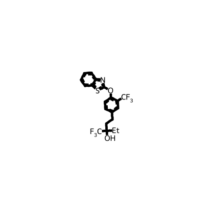 CCC(O)(CCc1ccc(Oc2nc3ccccc3s2)c(C(F)(F)F)c1)C(F)(F)F